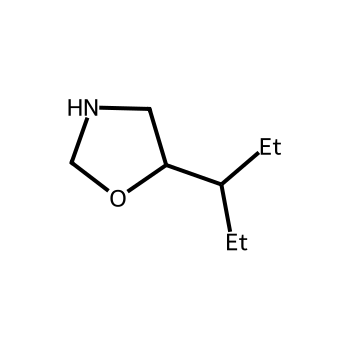 CCC(CC)C1CNCO1